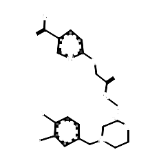 NC(=O)c1ccc(SCC(=O)NC[C@H]2CN(Cc3ccc(Cl)c(Cl)c3)CCO2)nc1